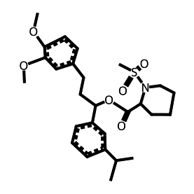 COc1ccc(CCC(OC(=O)C2CCCCN2S(C)(=O)=O)c2cccc(C(C)C)c2)cc1OC